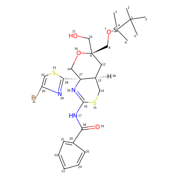 CC(C)(C)[Si](C)(C)OC[C@@]1(CO)C[C@H]2CSC(NC(=O)c3ccccc3)=N[C@@]2(c2nc(Br)cs2)CO1